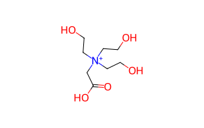 O=C(O)C[N+](CCO)(CCO)CCO